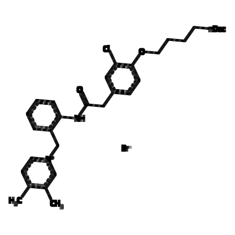 CCCCCCCCCCCCCCOc1ccc(CC(=O)Nc2ccccc2C[n+]2ccc(C)c(C)c2)cc1Cl.[Br-]